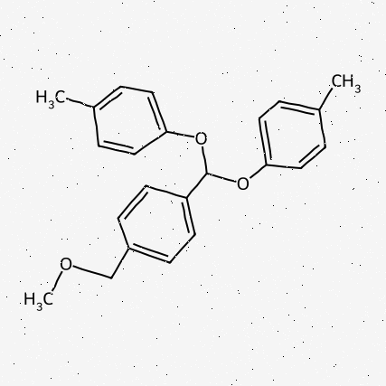 COCc1ccc(C(Oc2ccc(C)cc2)Oc2ccc(C)cc2)cc1